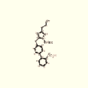 CCCCCCn1nc(CCC(C)C)nc1Cc1ccc(-c2ccccc2C(=O)O)cc1